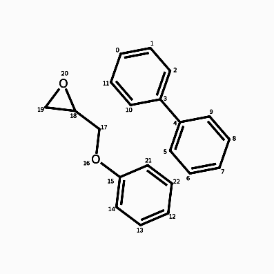 c1ccc(-c2ccccc2)cc1.c1ccc(OCC2CO2)cc1